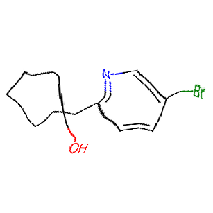 OC1(c2ccc(Br)cn2)CCCC1